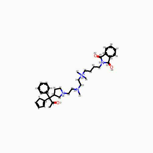 CC(=O)C(C1=CC=CC1)(c1ccccc1)C1CCN(CCN(C)CC[N+](C)(C)CCCCN2C(=O)c3ccccc3C2=O)C1